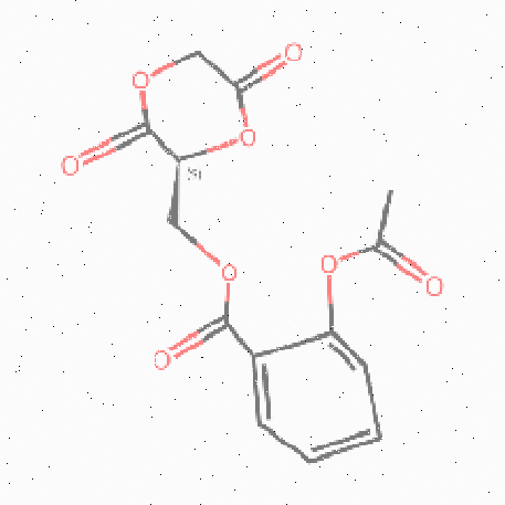 CC(=O)Oc1ccccc1C(=O)OC[C@@H]1OC(=O)COC1=O